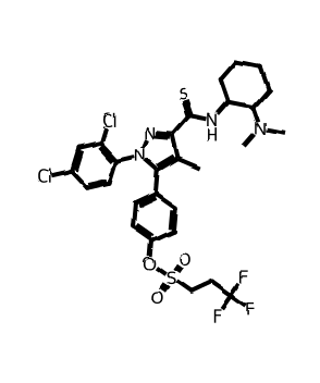 Cc1c(C(=S)NC2CCCCC2N(C)C)nn(-c2ccc(Cl)cc2Cl)c1-c1ccc(OS(=O)(=O)CCC(F)(F)F)cc1